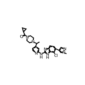 CC(c1ccnc(Nc2nc3ccc(-c4cnn(C)c4)c(Cl)c3[nH]2)c1)N1CCN(C(=O)C2CC2)CC1